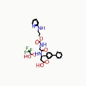 O=C(O)C(F)(F)F.O=C(O)CC(NC(=O)CNC(=O)OCCCNc1ccccn1)c1ccc(-c2ccccc2)cc1